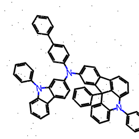 c1ccc(-c2ccc(N(c3ccc4c(c3)C3(c5ccccc5)c5ccccc5N(c5ccccc5)c5cccc-4c53)c3ccc4c5ccccc5n(-c5ccccc5)c4c3)cc2)cc1